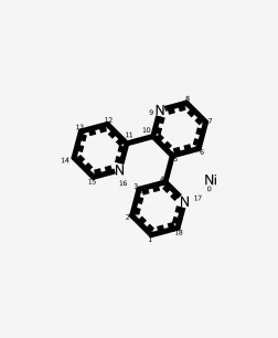 [Ni].c1ccc(-c2cccnc2-c2ccccn2)nc1